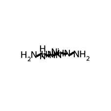 NCCNCCNCCNCCNCCN.[Ni]